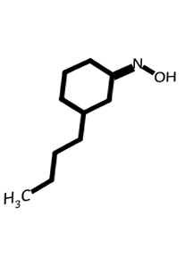 CCCCC1CCCC(=NO)C1